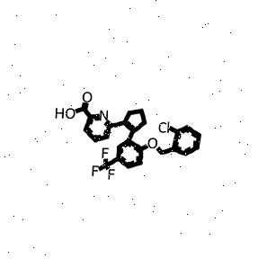 O=C(O)c1cccc(C2=C(c3cc(C(F)(F)F)ccc3OCc3ccccc3Cl)CCC2)n1